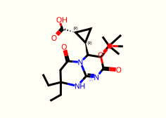 CCC1(CC)CC(=O)N(C(COC)[C@@H]2C[C@H]2C(=O)O)/C(=N\C(=O)OC(C)(C)C)N1